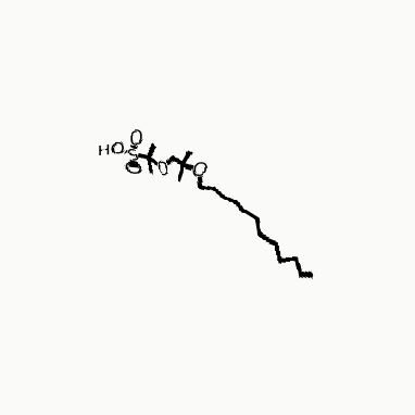 CCCCCCCCCCCCOC(C)(C)COC(C)(C)S(=O)(=O)O